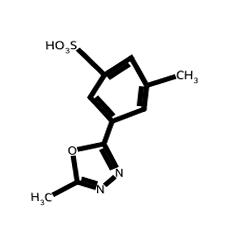 Cc1cc(-c2nnc(C)o2)cc(S(=O)(=O)O)c1